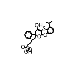 CC(C)c1ccccc1SC1=C(O)CC(CCCCS(=O)(=O)O)(c2ccccc2)OC1=O